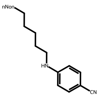 CCCCCCCCCCCCCCNc1ccc(C#N)cc1